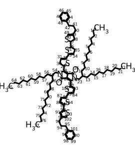 CCCCCCCCCCCCC(CCCCCCCCCC)CN1C(=O)C2=C(C3CC=C(C4=CCC(C5CC(CCCc6ccccc6)=CS5)S4)S3)N(CC(CCCCCCCCCC)CCCCCCCCCCCC)C(=O)C2=C1c1ccc(-c2ccc(-c3cc(CCCc4ccccc4)cs3)s2)s1